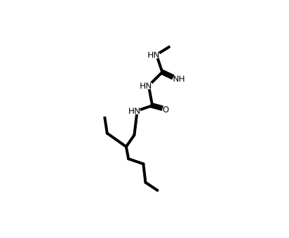 CCCCC(CC)CNC(=O)NC(=N)NC